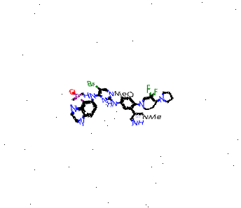 CN/C=C(\C=N)c1cc(Nc2ncc(Br)c(Nc3ccc4nccnc4c3P(C)(C)=O)n2)c(OC)cc1N1CCC(N2CCCC2)C(F)(F)C1